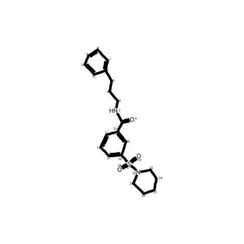 O=C(NCCCc1ccccc1)c1cccc(S(=O)(=O)N2CCCCC2)c1